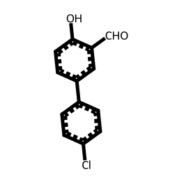 O=Cc1cc(-c2ccc(Cl)cc2)ccc1O